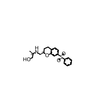 C[C@H](CO)NC[C@H]1CCc2ccc(S(=O)(=O)c3ccccc3)cc2O1